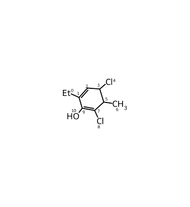 CCC1=CC(Cl)C(C)C(Cl)=C1O